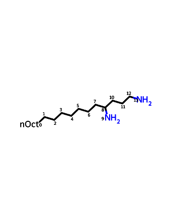 CCCCCCCCCCCCCCCC(N)CCCN